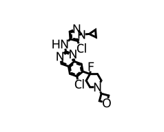 FC1(c2cc3nc(Nc4cnn(C5CC5)c4Cl)ncc3cc2Cl)CCN(C2COC2)CC1